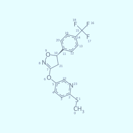 CSc1ccc(OC2=NO[C@@H](c3ccc(C(F)(F)F)cc3)C2)cn1